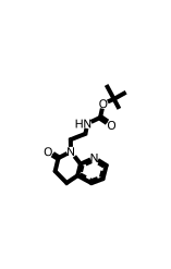 CC(C)(C)OC(=O)NCCN1C(=O)CCc2cccnc21